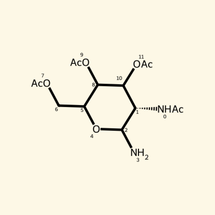 CC(=O)N[C@@H]1C(N)OC(COC(C)=O)C(OC(C)=O)C1OC(C)=O